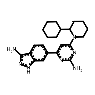 Nc1nc(-c2ccc3c(N)n[nH]c3c2)cc(N2CCC[CH]C2C2CCCCC2)n1